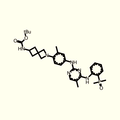 Cc1cc(Nc2ncc(C)c(Nc3ccccc3P(C)(C)=O)n2)ccc1N1CC2(CC(NC(=O)OC(C)(C)C)C2)C1